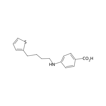 O=C(O)c1ccc(NCCCCc2cccs2)cc1